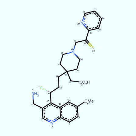 COc1ccc2ncc(CN)c([C@H](F)CCC3(CC(=O)O)CCN(CC(=S)c4ccccn4)CC3)c2c1